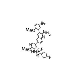 COc1ccc(C(C)C)cc1-c1cc2cc(-c3cnc(OC)c(NS(=O)(=O)c4ccc(F)cc4F)c3)ccc2nc1N